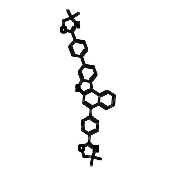 CC1(C)COC(c2ccc(-c3ccc4c(c3)sc3cc(-c5ccc(C6=NC(C)(C)CO6)cc5)c5ccccc5c34)cc2)=N1